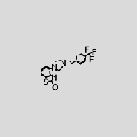 [O]c1nc2c(N3CCN(CCc4ccc(C(F)(F)F)cc4)CC3)cccc2s1